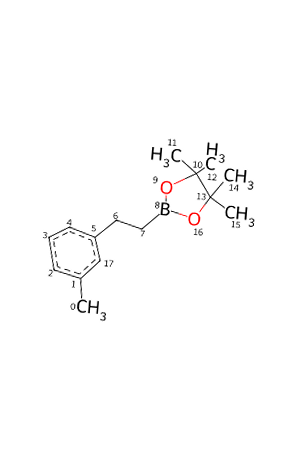 Cc1cccc(CCB2OC(C)(C)C(C)(C)O2)c1